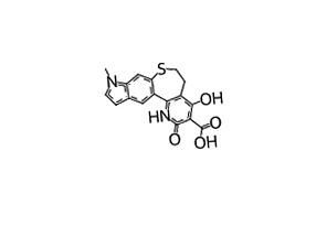 Cn1ccc2cc3c(cc21)SCCc1c-3[nH]c(=O)c(C(=O)O)c1O